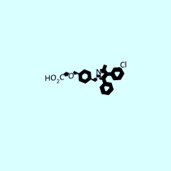 Cc1nn(C[C@H]2CC[C@@H](COCC(=O)O)CC2)c(-c2ccccc2)c1-c1cccc(Cl)c1